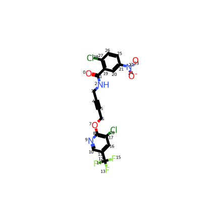 O=C(NCC#CCOc1ncc(C(F)(F)F)cc1Cl)c1cc([N+](=O)[O-])ccc1Cl